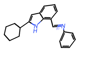 C(=N\c1ccccc1)/c1cccc2cc(C3CCCCC3)[nH]c12